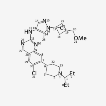 CCC(CC)N1CCC(c2cc3nc(Nc4cnn(C56CC(COC)(C5)C6)c4C)ncc3cc2Cl)CC1